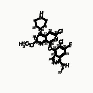 COc1nc(N2CCNCC2)c2cc(Cl)nc(Oc3c(Cl)c(F)cc4c3cnn4PI)c2n1